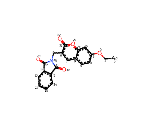 CC(=O)COc1ccc2cc(CN3C(=O)c4ccccc4C3=O)c(=O)oc2c1